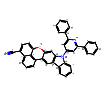 N#Cc1ccc2c3c(cccc13)-c1cc3c4ccccc4n(-c4cc(-c5ccccc5)nc(-c5ccccc5)c4)c3cc1O2